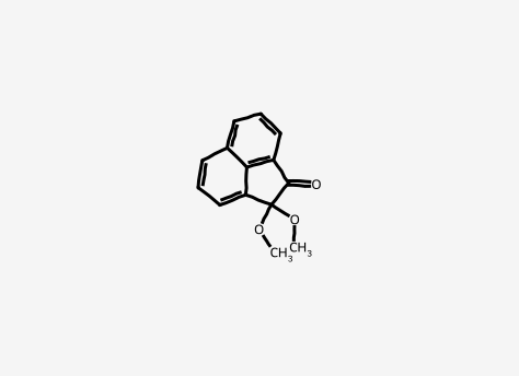 COC1(OC)C(=O)c2cccc3cccc1c23